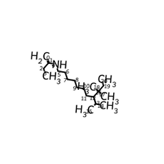 C=C(CC)NCCCCCCCC(C(C)C)C(C)(C)CC